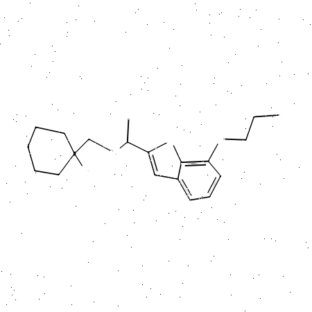 CC(NCC1(O)CCCCC1)c1cc2cccc(OCCF)c2o1